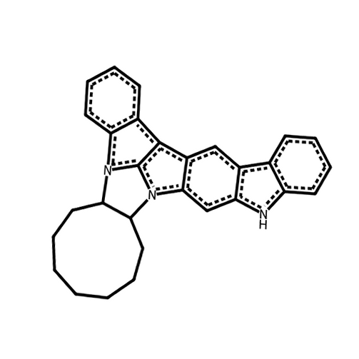 c1ccc2c(c1)[nH]c1cc3c(cc12)c1c2ccccc2n2c1n3C1CCCCCCCC12